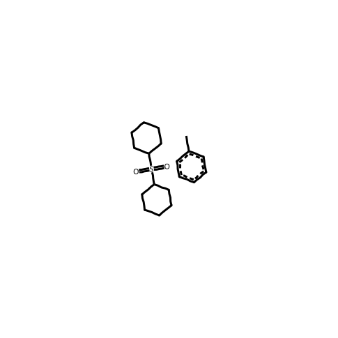 Cc1ccccc1.O=S(=O)(C1CCCCC1)C1CCCCC1